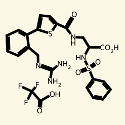 NC(N)=NCc1ccccc1-c1ccc(C(=O)NCC(NS(=O)(=O)c2ccccc2)C(=O)O)s1.O=C(O)C(F)(F)F